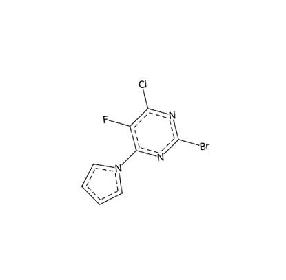 Fc1c(Cl)nc(Br)nc1-n1cccc1